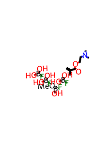 C=C(C)C(=O)OCCN(C)C.COB(O)F.OB(O)F.OB(O)F.OB(O)F